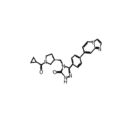 O=C(C1CC1)N1CC[C@@H](Cn2c(-c3ccc(-c4ccn5ccnc5c4)cc3)n[nH]c2=O)C1